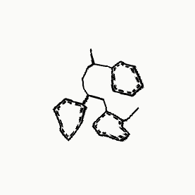 Cc1ccccc1CC(CC(C)c1ccccc1)c1ccccc1